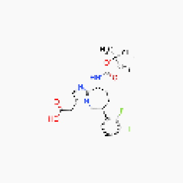 CC(C)(C)OC(=O)N[C@@H]1CC[C@@H](c2cccc(F)c2F)Cn2c(CC(=O)O)cnc21